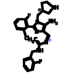 C=C(/N=C\c1nc(-c2c(F)cccc2Cl)n(C[C@H]2CCNC2)c1N)NCc1ccccc1F